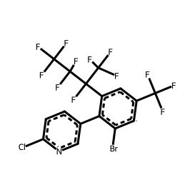 FC(F)(F)c1[c]c(Br)c(-c2ccc(Cl)nc2)c(C(F)(C(F)(F)F)C(F)(F)C(F)(F)F)c1